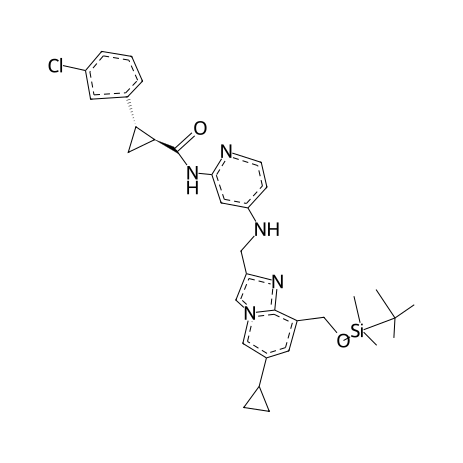 CC(C)(C)[Si](C)(C)OCc1cc(C2CC2)cn2cc(CNc3ccnc(NC(=O)[C@H]4C[C@@H]4c4cccc(Cl)c4)c3)nc12